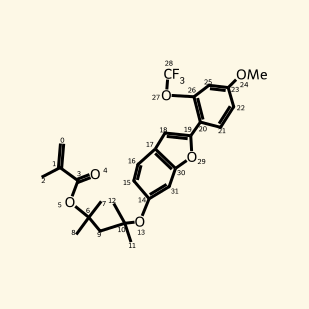 C=C(C)C(=O)OC(C)(C)CC(C)(C)Oc1ccc2cc(-c3ccc(OC)cc3OC(F)(F)F)oc2c1